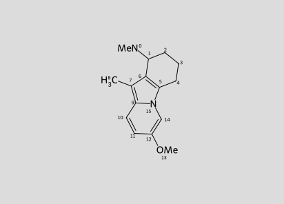 CNC1CCCc2c1c(C)c1ccc(OC)cn21